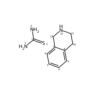 NC(N)=S.c1ccc2c(c1)CCNC2